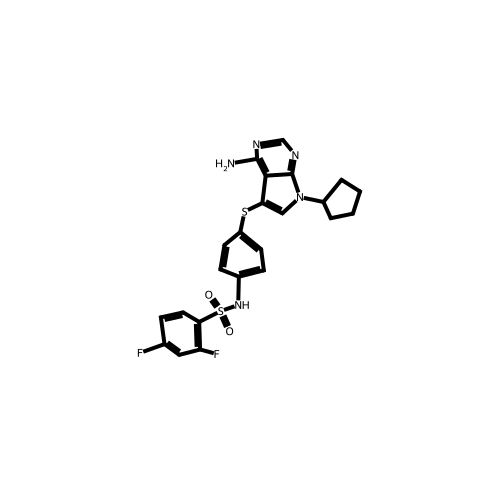 Nc1ncnc2c1c(Sc1ccc(NS(=O)(=O)c3ccc(F)cc3F)cc1)cn2C1CCCC1